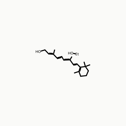 CC1=C(/C=C/C(C)=C/C=C/C(C)=C/CO)C(C)(C)CCC1.CCO